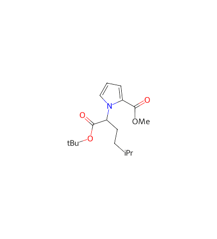 COC(=O)c1cccn1C(CCC(C)C)C(=O)OC(C)(C)C